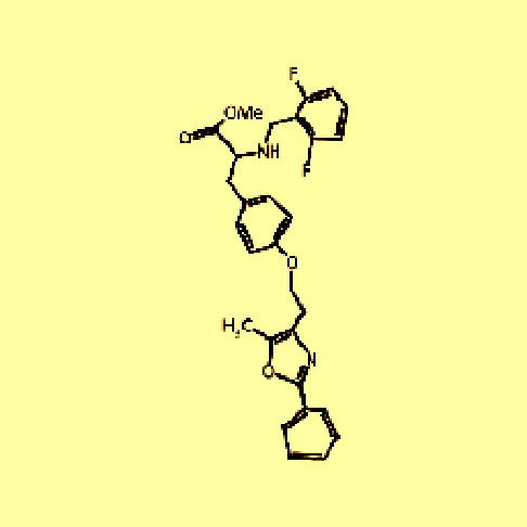 COC(=O)C(Cc1ccc(OCCc2nc(-c3ccccc3)oc2C)cc1)NCc1c(F)cccc1F